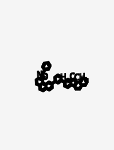 CC1(C)c2cc(-c3cccc(-c4ccc5ccc6ccc7nc(-c8ccccc8)oc7c6c5c4)c3)ccc2-c2ccc3ccccc3c21